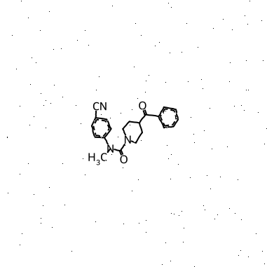 CN(C(=O)N1CCC(C(=O)c2ccccc2)CC1)c1ccc(C#N)cc1